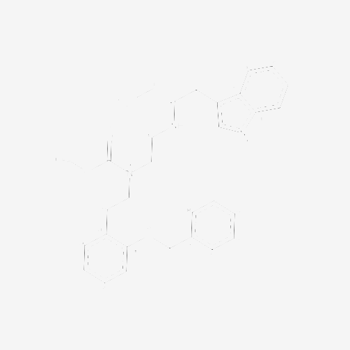 CC(C)(C)OC(=O)N(CCN[C@H](CC(=O)O)Cc1c[nH]c2ccccc12)CCc1ccccc1OCc1ccccc1